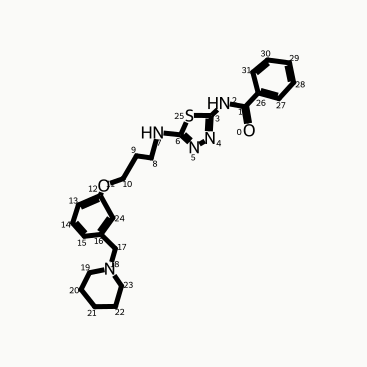 O=C(Nc1nnc(NCCCOc2cccc(CN3CCCCC3)c2)s1)c1ccccc1